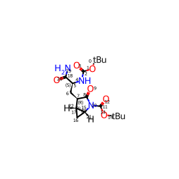 CC(C)(C)OC(=O)N[C@@H](C[C@H]1C(=O)N(C(=O)OC(C)(C)C)[C@@H]2C[C@@H]21)C(N)=O